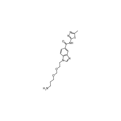 Cc1nnc(NC(=O)c2ccc3c(c2)ncn3CCOCOCCCN)s1